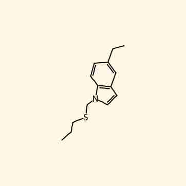 CCCSCn1ccc2cc(CC)ccc21